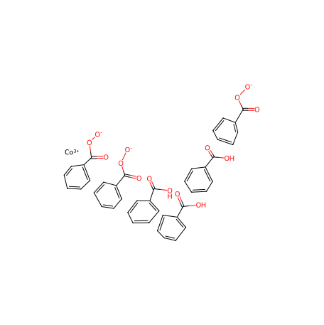 O=C(O)c1ccccc1.O=C(O)c1ccccc1.O=C(O)c1ccccc1.O=C(O[O-])c1ccccc1.O=C(O[O-])c1ccccc1.O=C(O[O-])c1ccccc1.[Co+3]